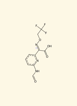 O=CNc1cccc(/C(=N/OCC(F)(F)F)C(=O)O)n1